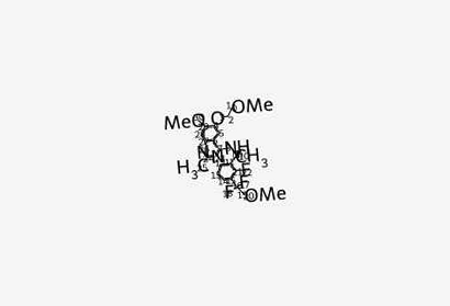 COCCOc1cc2c(N[C@H](C)c3cccc(C(F)(F)COC)c3F)nc(C)nc2cc1OC